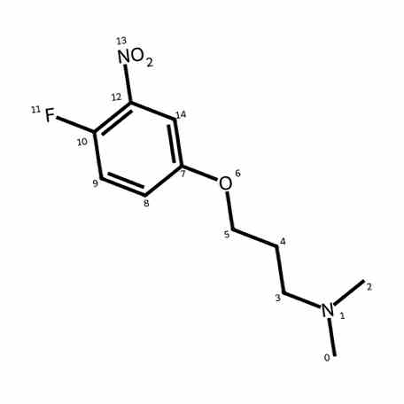 CN(C)CCCOc1ccc(F)c([N+](=O)[O-])c1